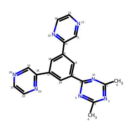 Cc1nc(C)nc(-c2cc(-c3cnccn3)cc(-c3cnccn3)c2)n1